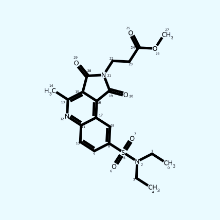 CCN(CC)S(=O)(=O)c1ccc2nc(C)c3c(c2c1)C(=O)N(CCC(=O)OC)C3=O